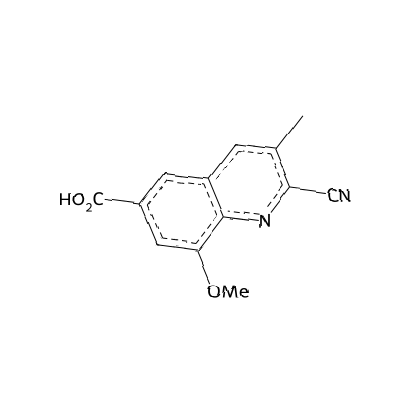 COc1cc(C(=O)O)cc2cc(C)c(C#N)nc12